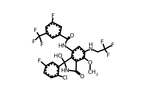 COc1c(NCC(F)(F)F)cc(NC(=O)c2cc(F)cc(C(F)(F)F)c2)c2c1C(=O)NC2(O)c1cc(F)ccc1Cl